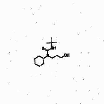 CC(C)(C)NC(=S)N(CCCO)C1CCCCC1